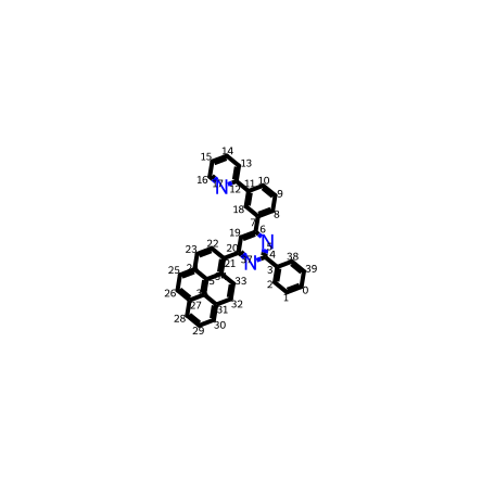 c1ccc(-c2nc(-c3cccc(-c4ccccn4)c3)cc(-c3ccc4ccc5cccc6ccc3c4c56)n2)cc1